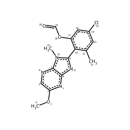 COc1cnc2c(n1)nc(-c1c(C)cc(Cl)cc1OC=O)n2C